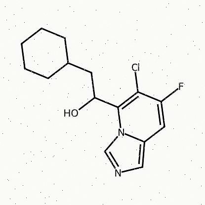 OC(CC1CCCCC1)c1c(Cl)c(F)cc2cncn12